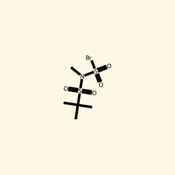 CN(S(=O)(=O)Br)S(=O)(=O)C(C)(C)C